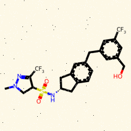 CN1CC(S(=O)(=O)N[C@H]2Cc3ccc(Cc4cc(CO)cc(C(F)(F)F)c4)cc3C2)C(C(F)(F)F)=N1